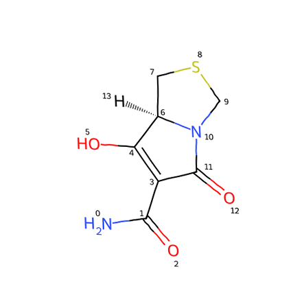 NC(=O)C1=C(O)[C@H]2CSCN2C1=O